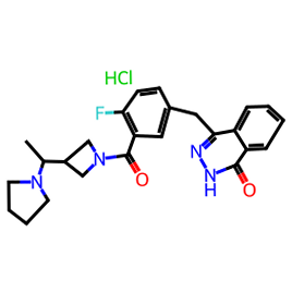 CC(C1CN(C(=O)c2cc(Cc3n[nH]c(=O)c4ccccc34)ccc2F)C1)N1CCCC1.Cl